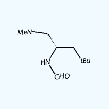 CNC[C@H](CC(C)(C)C)N[C]=O